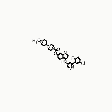 CN1CCC(N2CCN(C(=O)Oc3ccc4c(Nc5cnnc(-c6cc(Cl)ccc6F)c5)ccnc4c3)CC2)CC1